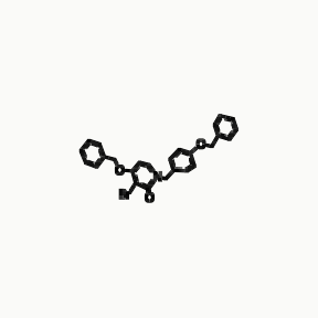 O=c1c(Br)c(OCc2ccccc2)ccn1Cc1ccc(OCc2ccccc2)cc1